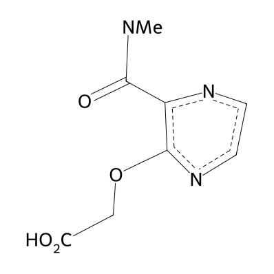 CNC(=O)c1nccnc1OCC(=O)O